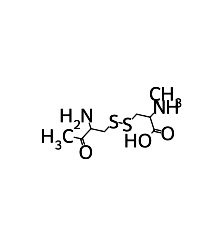 CNC(CSSCC(N)C(C)=O)C(=O)O